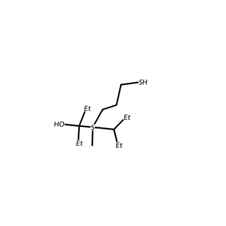 CCC(CC)S(C)(CCCS)C(O)(CC)CC